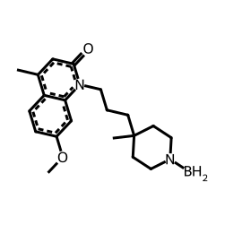 BN1CCC(C)(CCCn2c(=O)cc(C)c3ccc(OC)cc32)CC1